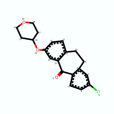 O=C1c2ccc(Cl)cc2CCc2ccc(OC3CCOCC3)cc21